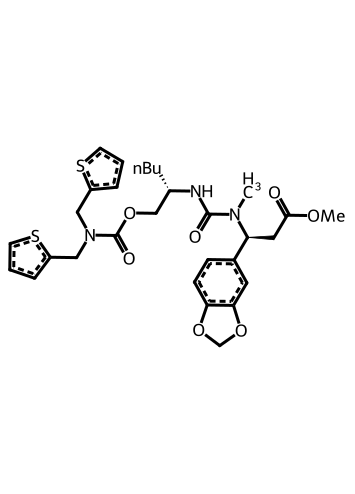 CCCC[C@@H](COC(=O)N(Cc1cccs1)Cc1cccs1)NC(=O)N(C)[C@@H](CC(=O)OC)c1ccc2c(c1)OCO2